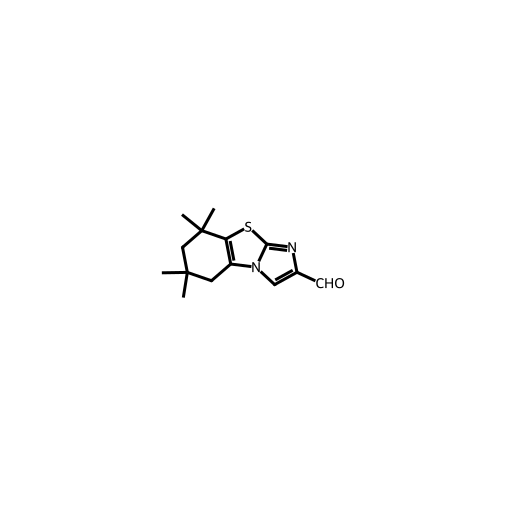 CC1(C)Cc2c(sc3nc(C=O)cn23)C(C)(C)C1